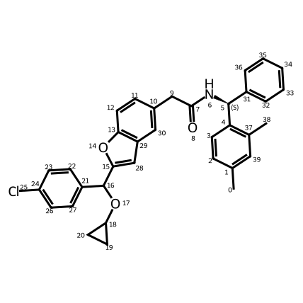 Cc1ccc([C@@H](NC(=O)Cc2ccc3oc(C(OC4CC4)c4ccc(Cl)cc4)cc3c2)c2ccccc2)c(C)c1